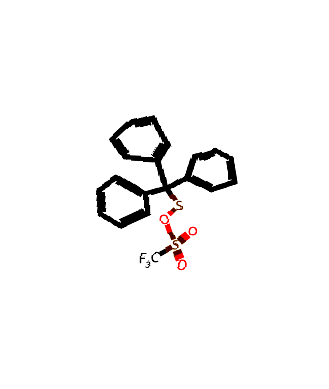 O=S(=O)(OSC(c1ccccc1)(c1ccccc1)c1ccccc1)C(F)(F)F